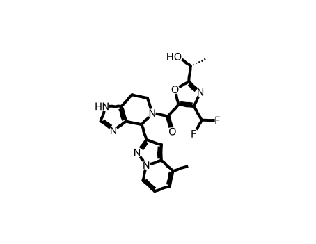 Cc1cccn2nc(C3c4nc[nH]c4CCN3C(=O)c3oc([C@@H](C)O)nc3C(F)F)cc12